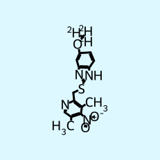 [2H]C([2H])([2H])Oc1ccc2[nH]c(SCc3ncc(C)c([N+](=O)[O-])c3C)nc2c1